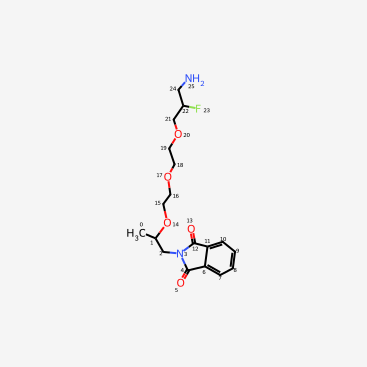 CC(CN1C(=O)c2ccccc2C1=O)OCCOCCOCC(F)CN